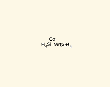 [Co].[GeH4].[Mn].[SiH4]